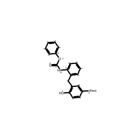 CCCCCc1ccc(O)c(Cc2ccccc2NC(=O)Oc2ccccc2)c1